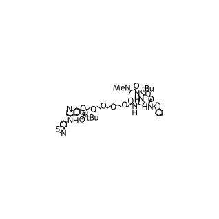 CNC(C)C(=O)NC(C(=O)N1C[C@@H](NC(=O)COCCOCCOCCOCCOc2cc3nccc(Nc4ccc5scnc5c4)c3cc2S(=O)(=O)C(C)(C)C)C[C@H]1C(=O)N[C@@H]1CCc2ccccc21)C(C)(C)C